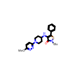 COc1ccc(N2CCC(Nc3c(-c4ccccc4)sn(C(C)(C)C)c3=O)CC2)nn1